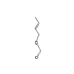 CC=CCOC=O